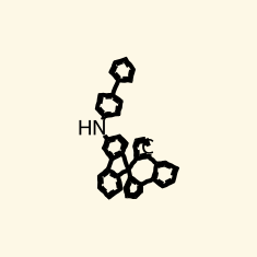 c1ccc(-c2ccc(Nc3ccc4c(c3)-c3ccccc3C43c4ccccc4-c4ccccc4-c4ccccc43)cc2)cc1